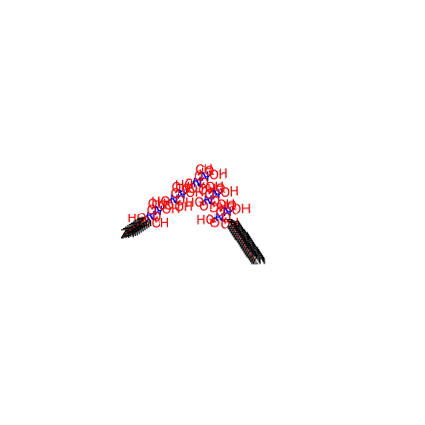 O=C(O)CN(CCN(CC(=O)O)CC(=O)O)CC(=O)O.O=C(O)CN(CCN(CC(=O)O)CC(=O)O)CC(=O)O.O=C(O)CN(CCN(CC(=O)O)CC(=O)O)CC(=O)O.O=C(O)CN(CCN(CC(=O)O)CC(=O)O)CC(=O)O.O=C(O)CN(CCN(CC(=O)O)CC(=O)O)CC(=O)O.[Zn].[Zn].[Zn].[Zn].[Zn].[Zn].[Zn].[Zn].[Zn].[Zn].[Zn].[Zn].[Zn].[Zn].[Zn].[Zn].[Zn].[Zn].[Zn].[Zn].[Zn].[Zn].[Zn].[Zn].[Zn].[Zn].[Zn].[Zn].[Zn].[Zn]